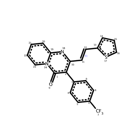 O=c1c(-c2ccc(C(F)(F)F)cc2)c(/C=C/c2cccs2)nc2ccccn12